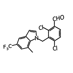 Cc1cc(C(F)(F)F)cc2ccn(Cc3c(Cl)ccc(C=O)c3Cl)c12